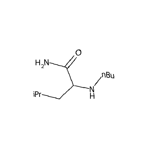 CCCCNC(CC(C)C)C(N)=O